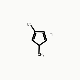 CCC1=C[C](C)C=C1.[Ti]